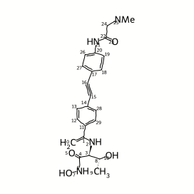 C=C(N[C@H](C(=O)NO)[C@@H](C)O)c1ccc(C#Cc2ccc(NC(=O)CNC)cc2)cc1